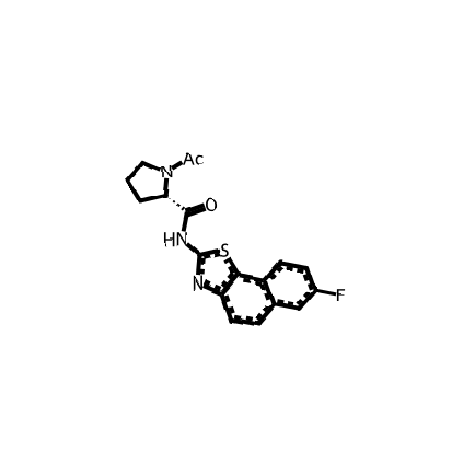 CC(=O)N1CCC[C@H]1C(=O)Nc1nc2ccc3cc(F)ccc3c2s1